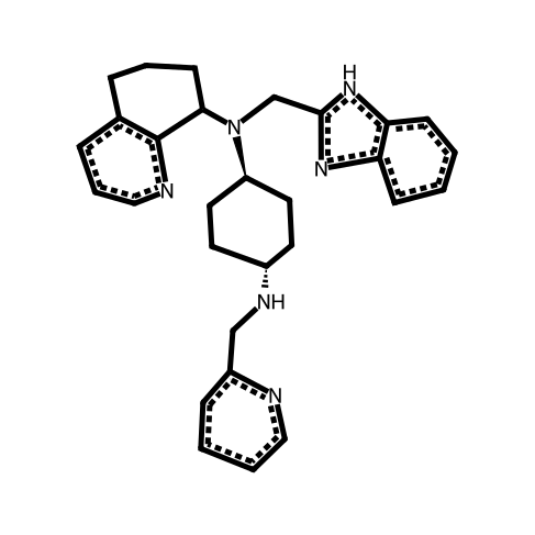 c1ccc(CN[C@H]2CC[C@H](N(Cc3nc4ccccc4[nH]3)C3CCCc4cccnc43)CC2)nc1